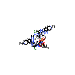 CCN1CCc2ccc(Nc3ncc(Cl)c(NC(C)(C)CNS(=O)(=O)CN(CC(C)(C)Nc4nc(Nc5ccc6c(c5)CCN(CC)CC6)ncc4Cl)S(C)(=O)=O)n3)cc2CC1